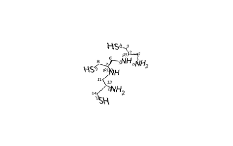 NC[C@H](CS)NC[C@H](CS)NCC(N)CS